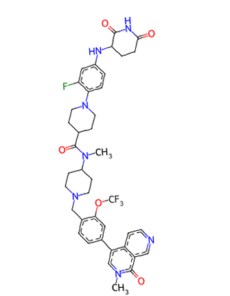 CN(C(=O)C1CCN(c2ccc(NC3CCC(=O)NC3=O)cc2F)CC1)C1CCN(Cc2ccc(-c3cn(C)c(=O)c4cnccc34)cc2OC(F)(F)F)CC1